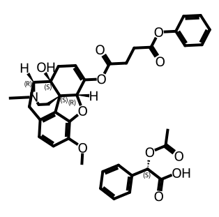 CC(=O)O[C@H](C(=O)O)c1ccccc1.COc1ccc2c3c1O[C@H]1C(OC(=O)CCC(=O)Oc4ccccc4)=CC[C@@]4(O)[C@@H](C2)N(C)CC[C@]314